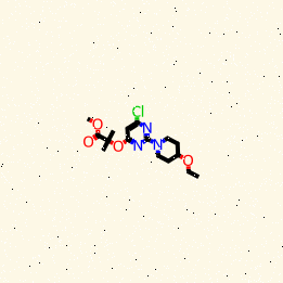 CCOC1CCN(c2nc(Cl)cc(OC(C)(C)C(=O)OC)n2)CC1